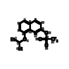 CCC(CC)Oc1cccc2ccc(OS(=O)(=O)C(F)(F)F)nc12